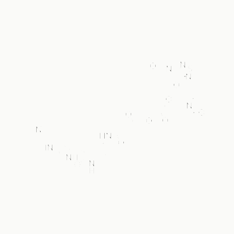 CCN(CC)CCNc1c(C)[nH]c(/C=C2\C(=O)Nc3ccc(NC(=O)CCC(=O)C(CC)(CC)O[C@H](C)C(=O)C(CC)(CC)O[C@H](COc4nsnc4N4CCOCC4)CN(C(C)=O)C(C)(C)C)cc32)c1C